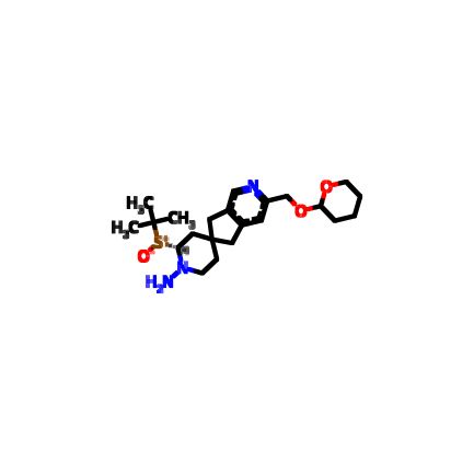 CC(C)(C)[S+]([O-])[C@@H]1CC2(CCN1N)Cc1cnc(COC3CCCCO3)cc1C2